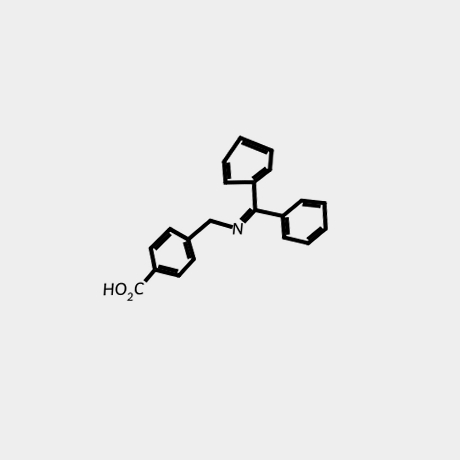 O=C(O)c1ccc(CN=C(c2ccccc2)c2ccccc2)cc1